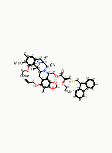 C=CCOc1c(C)c2c(c3c1CC1[C@@H]4c5c(cc(C)c(OC)c5OCOC)C[C@@H]([C@H](C#N)N1[C@H]3COC(=O)/C(=C/SCC1c3ccccc3-c3ccccc31)OCOC)N4C)OCO2